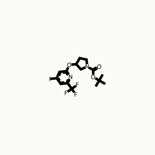 CC(C)(C)OC(=O)N1CCC(Oc2cc(I)cc(C(F)(F)F)n2)C1